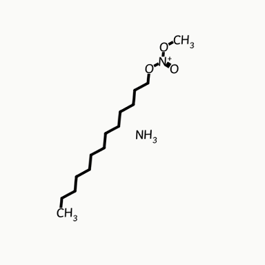 CCCCCCCCCCCCCO[N+](=O)OC.N